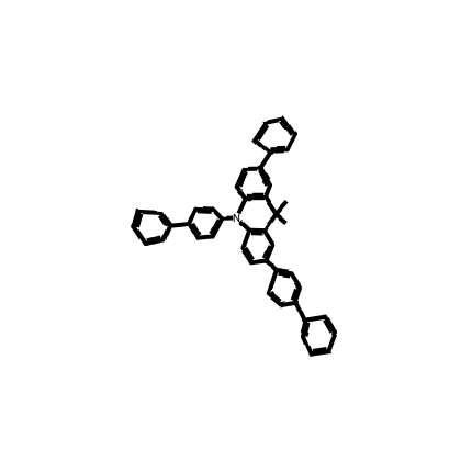 CC1(C)c2cc(-c3ccccc3)ccc2N(c2ccc(-c3ccccc3)cc2)c2ccc(-c3ccc(-c4ccccc4)cc3)cc21